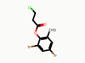 O=Cc1cc(Br)cc(Br)c1OC(=O)CCCl